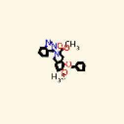 COC(=O)C1Cc2c(ccc(OC)c2OCc2ccccc2)CN1c1ncnc2ccccc12